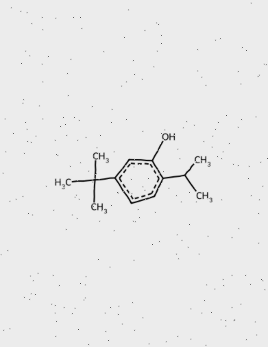 CC(C)c1ccc(C(C)(C)C)cc1O